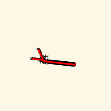 C/C=C\OOOOOOOOOOOOOOOOOOOOOOOOOOOOOOOOOOOOOOOOOOOOCCOC(=O)NCCOP(=O)(O)OC[C@@H](COC(=O)CCCCCCCCCCCCCCCCC)OC(=O)CCCCCCCCCCCCCCCCC